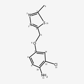 Cc1nnc(COc2ccc(N)c(Cl)c2)s1